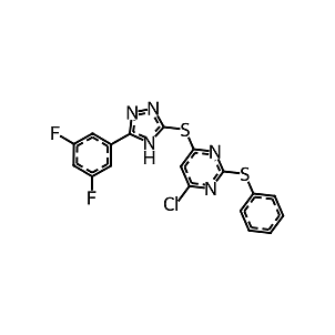 Fc1cc(F)cc(-c2nnc(Sc3cc(Cl)nc(Sc4ccccc4)n3)[nH]2)c1